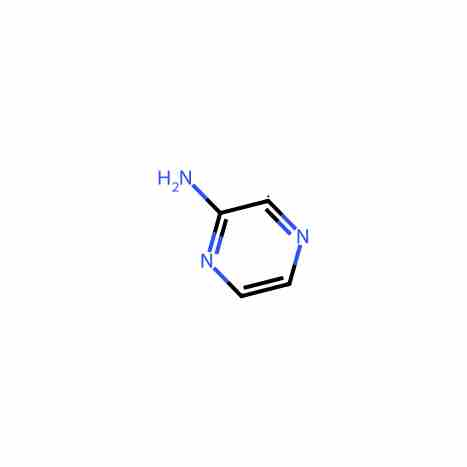 Nc1[c]nccn1